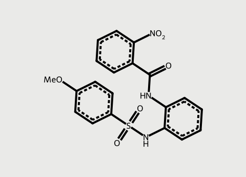 COc1ccc(S(=O)(=O)Nc2ccccc2NC(=O)c2ccccc2[N+](=O)[O-])cc1